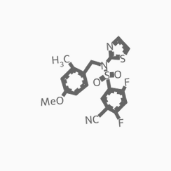 COc1ccc(CN(c2nccs2)S(=O)(=O)c2cc(C#N)c(F)cc2F)c(C)c1